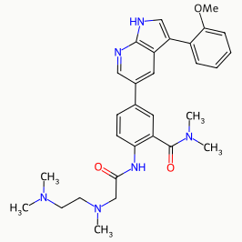 COc1ccccc1-c1c[nH]c2ncc(-c3ccc(NC(=O)CN(C)CCN(C)C)c(C(=O)N(C)C)c3)cc12